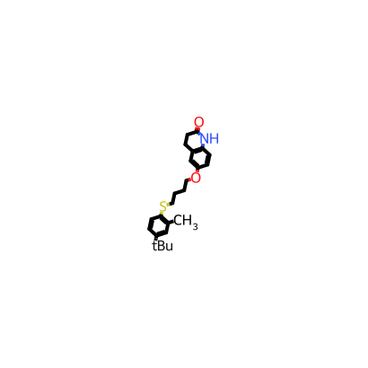 Cc1cc(C(C)(C)C)ccc1SCCCCOc1ccc2c(c1)CCC(=O)N2